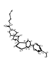 CCCCOC(=O)N1CCC2(CC1)CN([C@@H]1CCc3cc(-c4ncc(CC)cn4)ccc31)C2